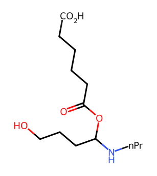 [CH2]CCNC(CCCO)OC(=O)CCCCC(=O)O